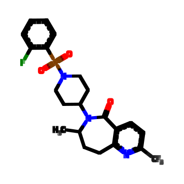 CC1CCc2nc(C(F)(F)F)ccc2C(=O)N1C1CCN(S(=O)(=O)c2ccccc2F)CC1